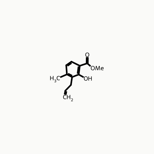 C=CCc1c(C)ccc(C(=O)OC)c1O